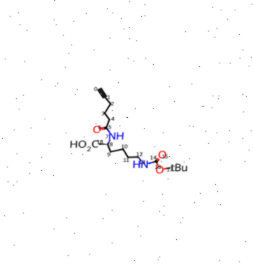 C#CCCCC(=O)N[C@@H](CCCCNC(=O)OC(C)(C)C)C(=O)O